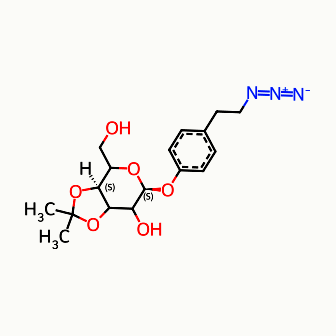 CC1(C)OC2C(O)[C@H](Oc3ccc(CCN=[N+]=[N-])cc3)OC(CO)[C@@H]2O1